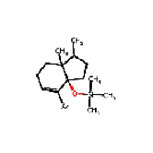 CC(=O)C1=CCC[C@]2(C)C(C)CC[C@]12O[Si](C)(C)C